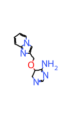 NC1=NC=NCC1OCc1cn2ccccc2n1